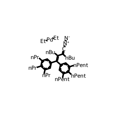 CCCCCc1cc(C(=C(CCCC)C(=C=[N+]=[N-])CCCC)c2cc(CCC)c(CCC)c(CCC)c2)cc(CCCCC)c1CCCCC.C[CH2][Pd][CH2]C